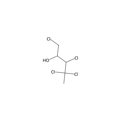 CC(Cl)(Cl)C(Cl)C(O)CCl